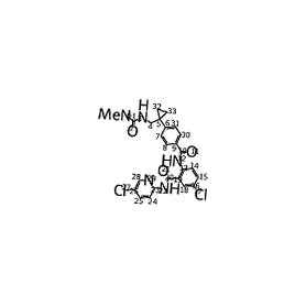 CNC(=O)NCC1(c2ccc(C(=O)Nc3ccc(Cl)cc3C(=O)Nc3ccc(Cl)cn3)cc2)CC1